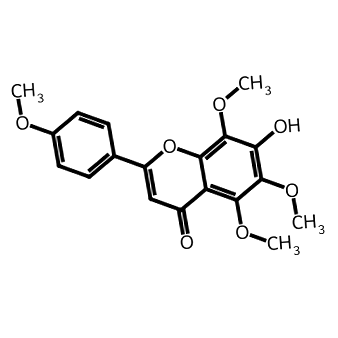 COc1ccc(-c2cc(=O)c3c(OC)c(OC)c(O)c(OC)c3o2)cc1